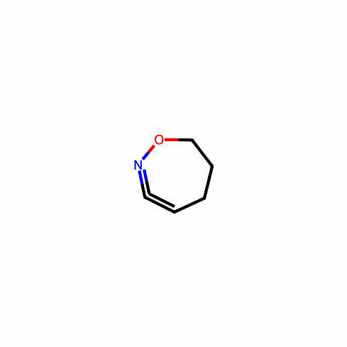 C1=CCCCON=1